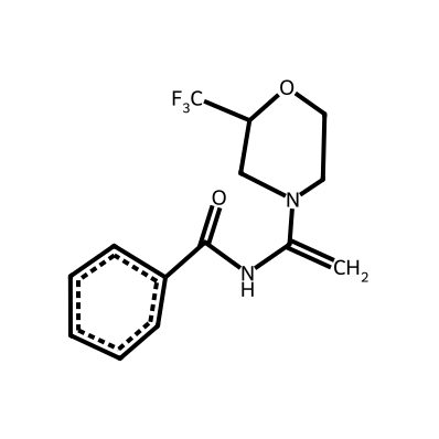 C=C(NC(=O)c1ccccc1)N1CCOC(C(F)(F)F)C1